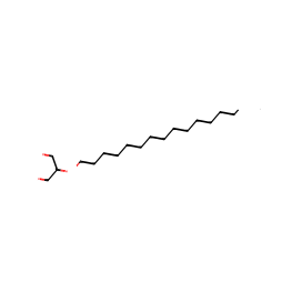 CCCCCCCCCCCCCCCOC(CO)CO